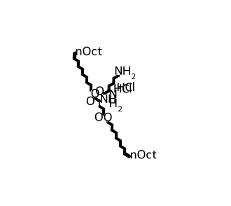 CCCCCCCC/C=C\CCCCCCCCOC(=O)CC[C@H](NC(=O)[C@@H](N)CCCCN)C(=O)OCCCCCCCC/C=C\CCCCCCCC.Cl.Cl